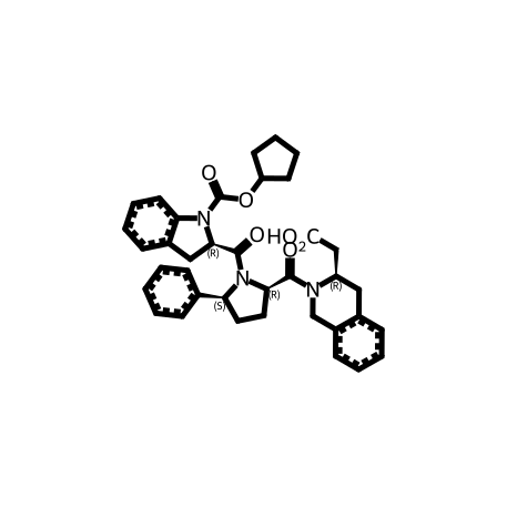 O=C(O)C[C@H]1Cc2ccccc2CN1C(=O)[C@H]1CC[C@@H](c2ccccc2)N1C(=O)[C@H]1Cc2ccccc2N1C(=O)OC1CCCC1